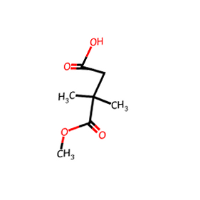 COC(=O)C(C)(C)CC(=O)O